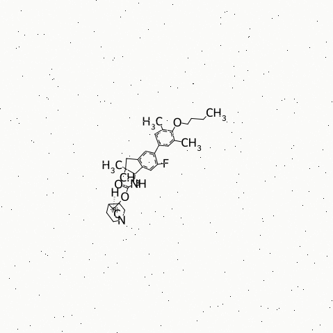 CCCCOc1c(C)cc(-c2cc3c(cc2F)C(NC(=O)O[C@H]2CN4CCC2CC4)C(C)(C)C3)cc1C